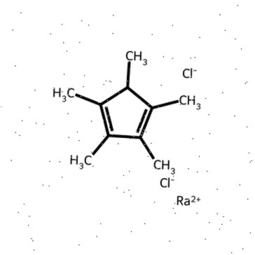 CC1=C(C)C(C)C(C)=C1C.[Cl-].[Cl-].[Ra+2]